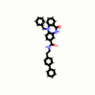 O=C(NCCc1ccc(-c2ccccc2)cc1)c1ccc2c(c1)NC(=O)c1ccccc1N2Cc1ccccc1